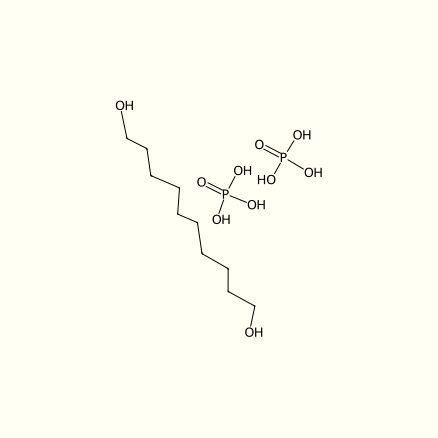 O=P(O)(O)O.O=P(O)(O)O.OCCCCCCCCCCO